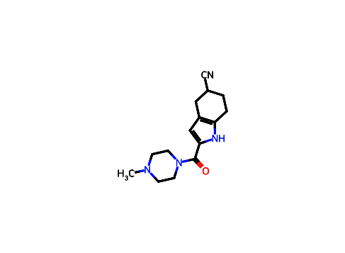 CN1CCN(C(=O)c2cc3c([nH]2)CCC(C#N)C3)CC1